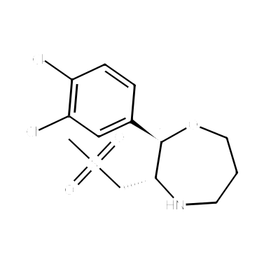 CS(=O)(=O)C[C@H]1NCCCO[C@@H]1c1ccc(Cl)c(Cl)c1